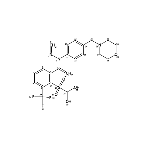 C=NN(C(=C)c1cccc(C(F)(F)F)c1S(=O)(=O)C(O)O)c1ccc(CN2CCOCC2)cc1